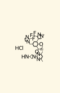 CNC1CN(c2nc(C)cc(C[C@H]3COc4c(cc(Cn5ccnc5C)cc4-c4cn(C)nc4C(F)(F)F)C3=O)n2)C1.Cl